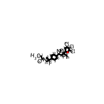 CCC(=O)N1CC(F)(c2ccc(C3=NOC(c4cc(Cl)c(Cl)c(Cl)c4)(C(F)(F)F)C3)cc2)C1